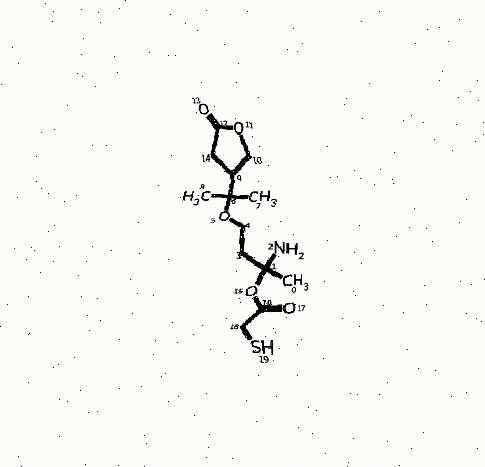 CC(N)(CCOC(C)(C)C1COC(=O)C1)OC(=O)CS